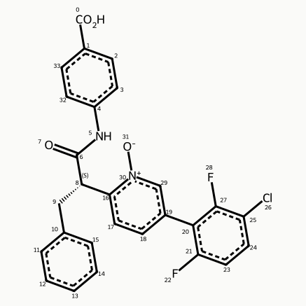 O=C(O)c1ccc(NC(=O)[C@@H](Cc2ccccc2)c2ccc(-c3c(F)ccc(Cl)c3F)c[n+]2[O-])cc1